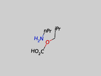 CC(C)COC(=O)O.CCCN